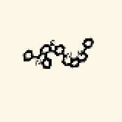 c1ccc(-c2ccc3ccc4ccc(-c5ccc6oc7ccc8c(-c9ccccc9)nc9ccccc9c8c7c6c5)nc4c3n2)cc1